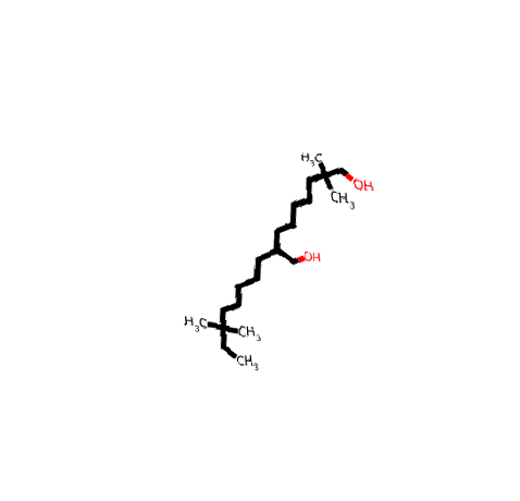 CCC(C)(C)CCCCCC(CO)CCCCCC(C)(C)CO